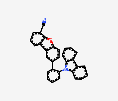 N#Cc1cccc2c1oc1ccc(-c3ccccc3-n3c4ccccc4c4ccccc43)cc12